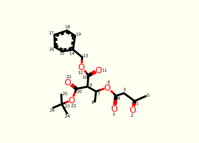 CC(=O)CC(=O)OC(C)C(C(=O)OCc1ccccc1)C(=O)OC(C)(C)C